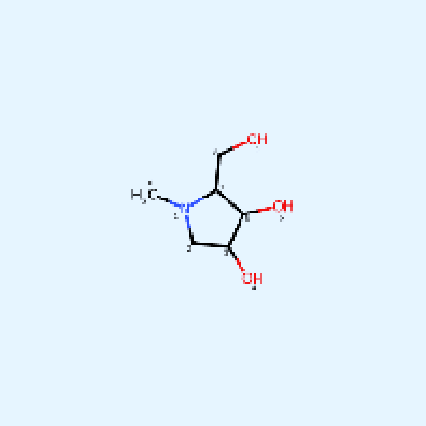 CN1CC(O)C(O)C1CO